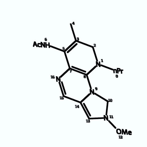 CCCN1CC(C)=C(NC(C)=O)C2=C1N1CN(OC)C=C1C=N2